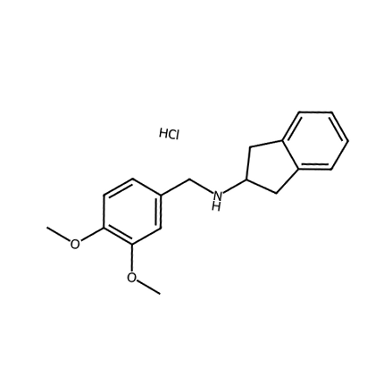 COc1ccc(CNC2Cc3ccccc3C2)cc1OC.Cl